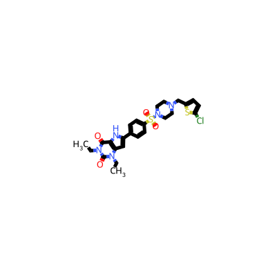 CCn1c(=O)c2[nH]c(-c3ccc(S(=O)(=O)N4CCN(Cc5ccc(Cl)s5)CC4)cc3)cc2n(CC)c1=O